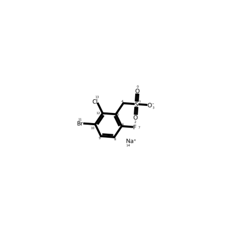 O=S(=O)([O-])Cc1c(F)ccc(Br)c1Cl.[Na+]